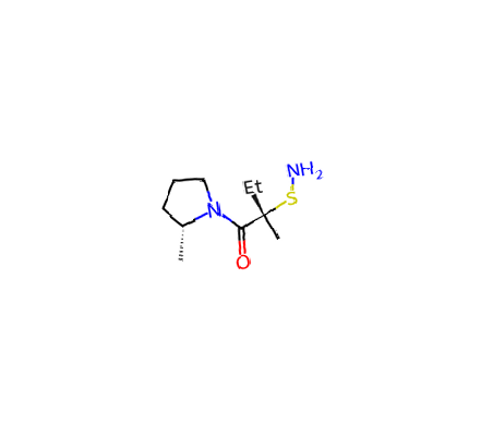 CC[C@](C)(SN)C(=O)N1CCC[C@H]1C